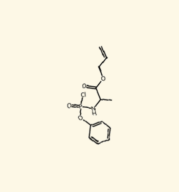 C=CCOC(=O)C(C)NP(=O)(Cl)Oc1ccccc1